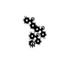 O=C(c1ccccc1)c1ccccc1.O=C(c1ccccc1)c1ccccc1.O=C(c1ccccc1)c1ccccc1.c1cnnnc1